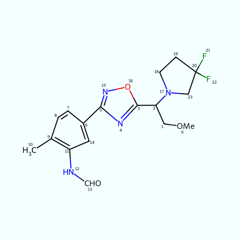 COCC(c1nc(-c2ccc(C)c(NC=O)c2)no1)N1CCC(F)(F)C1